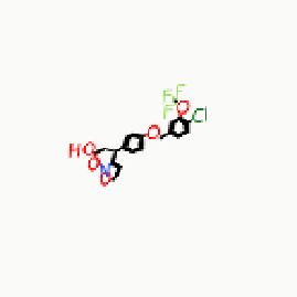 O=C(O)C[C@@H](c1ccc(OCc2ccc(Cl)c(OC(F)(F)F)c2)cc1)c1ccon1